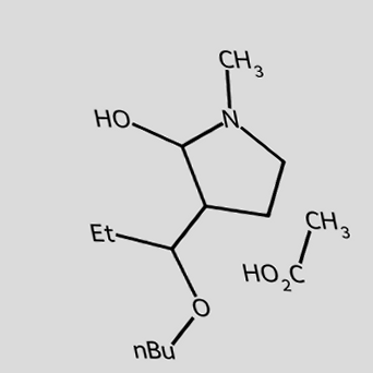 CC(=O)O.CCCCOC(CC)C1CCN(C)C1O